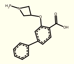 O=C(O)c1ccc(-c2ccccc2)cc1OC1CN(P)C1